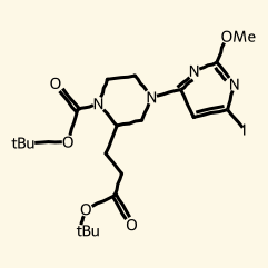 COc1nc(I)cc(N2CCN(C(=O)OC(C)(C)C)C(CCC(=O)OC(C)(C)C)C2)n1